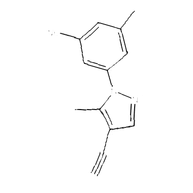 C#Cc1cnn(-c2cc(C)cc(C#N)c2)c1C